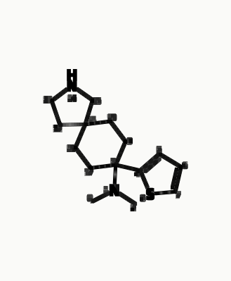 CN(C)C1(c2cccs2)CCC2(CCNC2)CC1